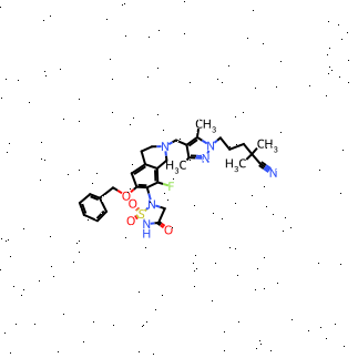 Cc1nn(CCCC(C)(C)C#N)c(C)c1CN1CCc2cc(OCc3ccccc3)c(N3CC(=O)NS3(=O)=O)c(F)c2C1